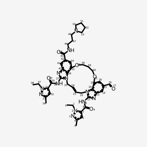 CCn1nc(C)cc1C(=O)Nc1nc2cc(C=O)cc3c2n1C/C=C/Cn1c(NC(=O)c2cc(C)nn2CC)nc2cc(C(=O)NCCCN4CCCC4)cc(c21)OCCCO3